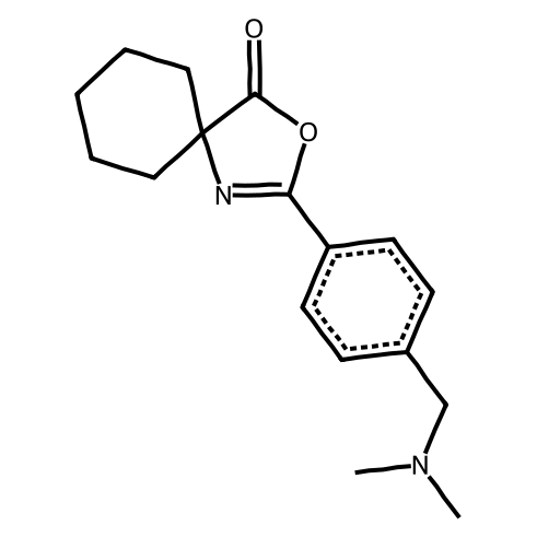 CN(C)Cc1ccc(C2=NC3(CCCCC3)C(=O)O2)cc1